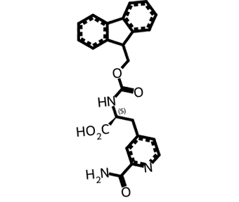 NC(=O)c1cc(C[C@H](NC(=O)OCC2c3ccccc3-c3ccccc32)C(=O)O)ccn1